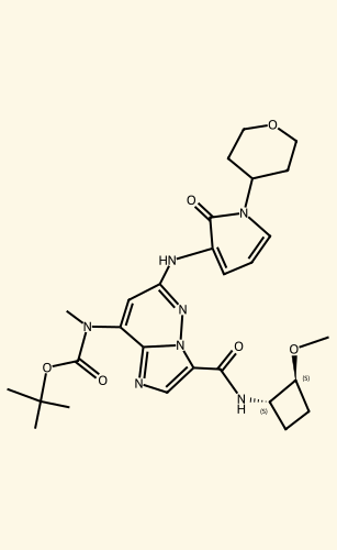 CO[C@H]1CC[C@@H]1NC(=O)c1cnc2c(N(C)C(=O)OC(C)(C)C)cc(Nc3cccn(C4CCOCC4)c3=O)nn12